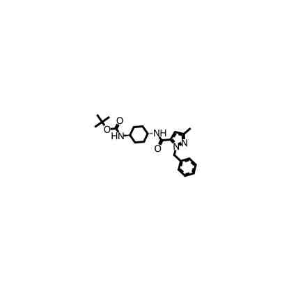 Cc1cc(C(=O)N[C@H]2CC[C@H](NC(=O)OC(C)(C)C)CC2)n(Cc2ccccc2)n1